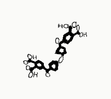 O=C(c1ccc(Oc2ccc(C(=O)c3ccc(C(=O)O)c(C(=O)O)c3)cc2)cc1)c1ccc(C(=O)O)c(C(=O)O)c1